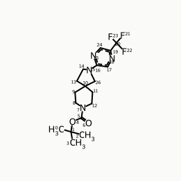 CC(C)(C)OC(=O)N1CCC2(CC1)CCN(c1cnc(C(F)(F)F)cn1)C2